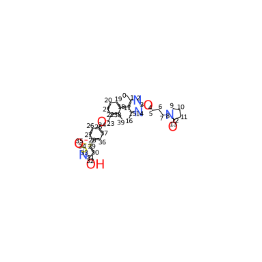 Cc1nc(OCCCN2CCCC2=O)nc(C)c1-c1cccc(COc2ccc(-c3cc(O)n[s+]3[O-])cc2)c1C